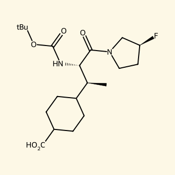 C[C@@H](C1CCC(C(=O)O)CC1)[C@H](NC(=O)OC(C)(C)C)C(=O)N1CC[C@H](F)C1